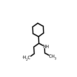 [CH2]CCC(NCC)C1CCCCC1